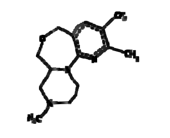 Cc1nc2c(cc1C(F)(F)F)COCC1CN(C)CCN21